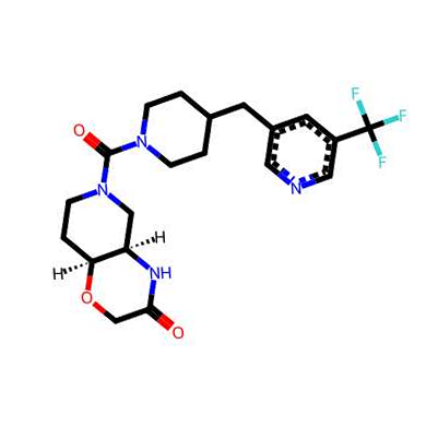 O=C1CO[C@H]2CCN(C(=O)N3CCC(Cc4cncc(C(F)(F)F)c4)CC3)C[C@H]2N1